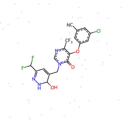 N#Cc1cc(Cl)cc(Oc2c(C(F)(F)F)ncn(CC3=CC(C(F)F)=NNC3O)c2=O)c1